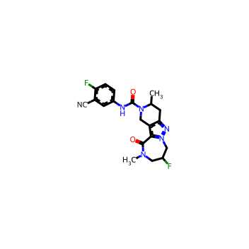 CC1Cc2nn3c(c2CN1C(=O)Nc1ccc(F)c(C#N)c1)C(=O)N(C)CC(F)C3